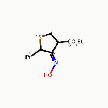 CCOC(=O)C1CSC(C(C)C)/C1=N\O